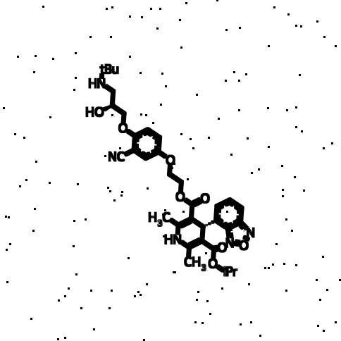 CC1=C(C(=O)OCCOc2ccc(OC[C@@H](O)CNC(C)(C)C)c(C#N)c2)[C@H](c2cccc3nonc23)C(C(=O)OC(C)C)=C(C)N1